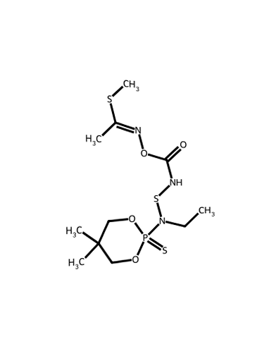 CCN(SNC(=O)O/N=C(\C)SC)P1(=S)OCC(C)(C)CO1